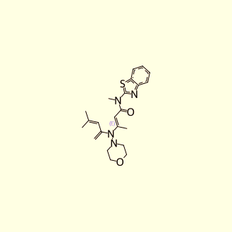 C=C(C=C(C)C)N(/C(C)=C/C(=O)N(C)c1nc2ccccc2s1)N1CCOCC1